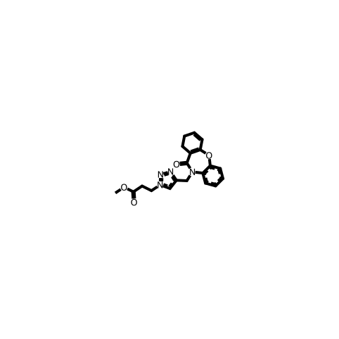 COC(=O)CCn1cc(CN2C(=O)C3=C(C=CCC3)Oc3ccccc32)nn1